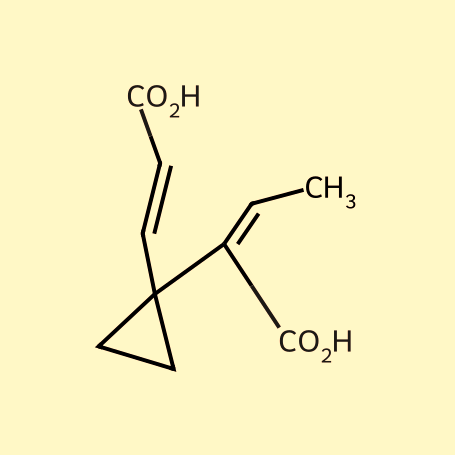 CC=C(C(=O)O)C1(C=CC(=O)O)CC1